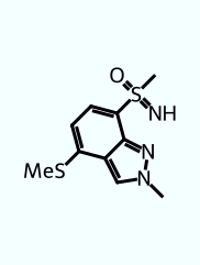 CSc1ccc(S(C)(=N)=O)c2nn(C)cc12